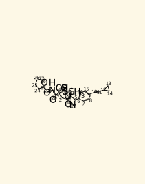 C[C@@](C[C@H]1CC(c2ccc(C#CC3CC3)cc2)=NO1)(C(=O)NOC1CCCCO1)S(C)(=O)=O